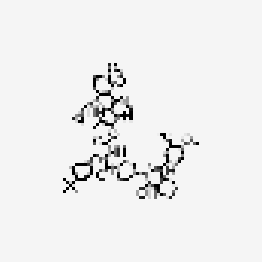 COc1ccc(C2=NN(C3CCN(C(=O)[C@@H](Cc4ccc(C(C)(C)C)cc4)NC(=O)Oc4c(C)[nH]c5c(-c6c(OCC7CC7)ccc7c6OCO7)ncnc45)CC3)C(=O)[C@@H]3CCCC[C@H]23)cc1OC